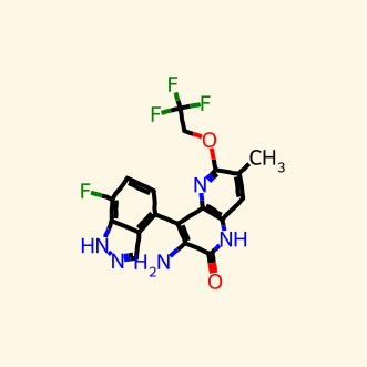 Cc1cc2[nH]c(=O)c(N)c(-c3ccc(F)c4[nH]ncc34)c2nc1OCC(F)(F)F